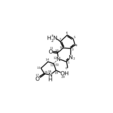 Cc1nc2cccc(N)c2c(=O)n1[C@H]1CCC(=O)NC1O